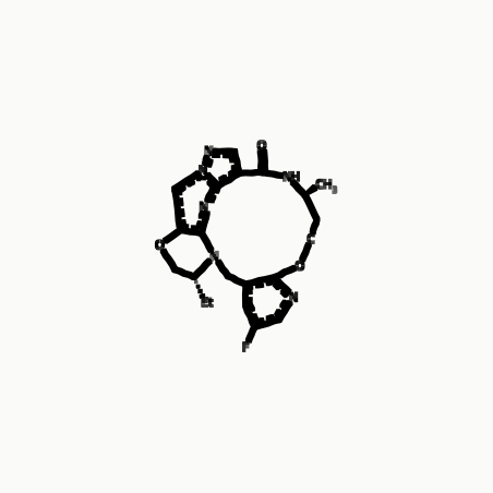 CC[C@@H]1COc2cn3ncc4c3nc2N1Cc1cc(F)cnc1OCC[C@H](C)NC4=O